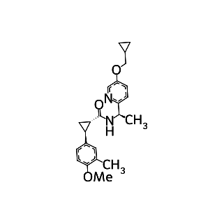 COc1ccc([C@H]2C[C@@H]2C(=O)N[C@H](C)c2ccc(OCC3CC3)cn2)cc1C